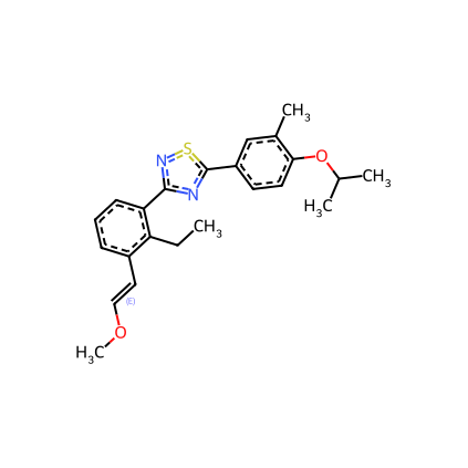 CCc1c(/C=C/OC)cccc1-c1nsc(-c2ccc(OC(C)C)c(C)c2)n1